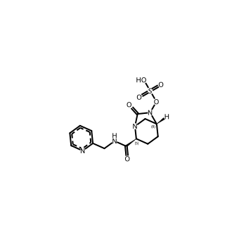 O=C(NCc1ccccn1)[C@@H]1CC[C@@H]2CN1C(=O)N2OS(=O)(=O)O